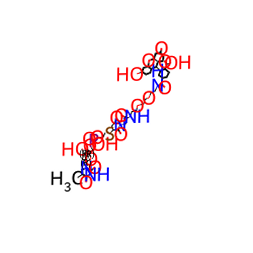 Cc1cn([C@H]2C[C@@H](O)[C@@H](COP(=O)(O)OCCSC3CC(=O)N(CC(=O)NCCOCCOCCNC(=O)c4ccc(C(=O)O)c(-c5c6ccc(=O)cc-6oc6cc(O)ccc56)c4)C3=O)O2)c(=O)[nH]c1=O